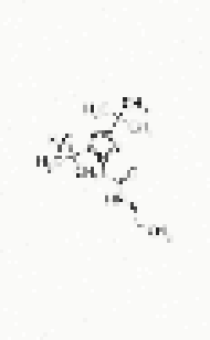 CCCNC(=O)Cn1nc(C(C)(C)C)cc1C(C)(C)C